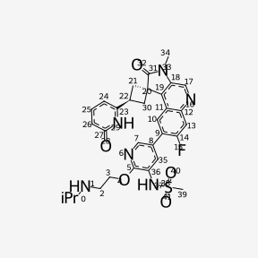 CC(C)NCCOc1ncc(-c2cc3c(cc2F)ncc2c3[C@]3(C[C@H](c4cccc(=O)[nH]4)C3)C(=O)N2C)cc1NS(C)(=O)=O